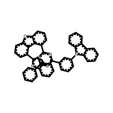 c1ccc(-c2nc(-c3cccc(-n4c5ccccc5c5ccccc54)c3)nc(-c3cccc4oc5cccc(-c6nc7ccccc7s6)c5c34)n2)cc1